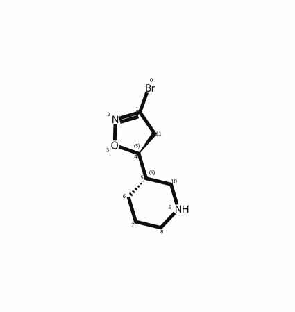 BrC1=NO[C@H]([C@H]2CCCNC2)C1